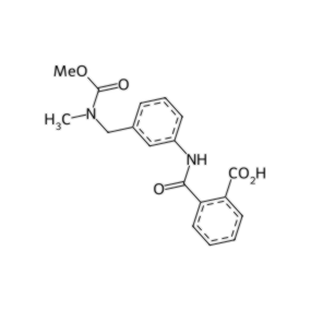 COC(=O)N(C)Cc1cccc(NC(=O)c2ccccc2C(=O)O)c1